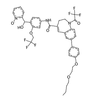 CCCCOCCOc1ccc(-c2ccc3c(c2)C=C(C(=O)Nc2ccc(C(O)c4cccc[n+]4[O-])c(OCC(F)(F)F)c2)CCN3C(=O)C(F)(F)F)cc1